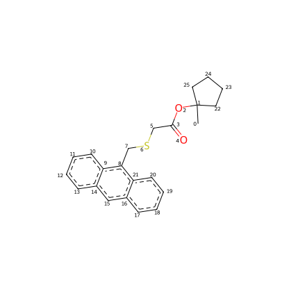 CC1(OC(=O)CSCc2c3ccccc3cc3ccccc23)CCCC1